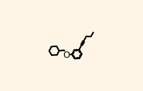 CCCC#Cc1cccc(OCC2CCCCC2)c1